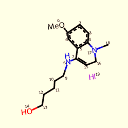 COc1ccc2c(c1)C(NCCCCCO)=CCN2C.I